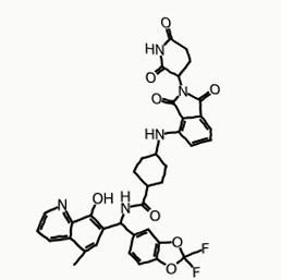 Cc1cc(C(NC(=O)C2CCC(Nc3cccc4c3C(=O)N(C3CCC(=O)NC3=O)C4=O)CC2)c2ccc3c(c2)OC(F)(F)O3)c(O)c2ncccc12